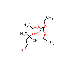 CCO[Si](OCC)(OCC)OOC(C)(C)CCBr